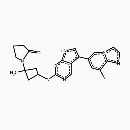 CC1(N2CCCC2=O)CC(Nc2ncc3c(-c4cc(F)c5nccn5c4)c[nH]c3n2)C1